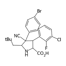 CC(C)(C)CC1NC(C(=O)O)C(c2cccc(Cl)c2F)C1(C#N)c1ccc(Br)cc1